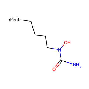 CCCCCCCCCN(O)C(N)=O